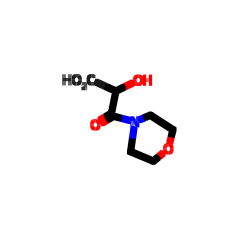 O=C(O)C(O)C(=O)N1CCOCC1